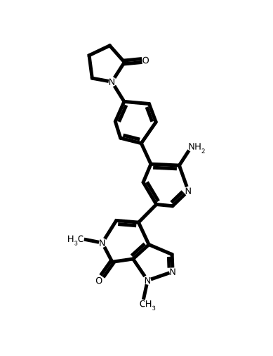 Cn1cc(-c2cnc(N)c(-c3ccc(N4CCCC4=O)cc3)c2)c2cnn(C)c2c1=O